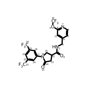 O=C(NCc1ccnc(OC(F)(F)F)c1)C1CC(=O)N(c2cc(C(F)(F)F)cc(C(F)(F)F)c2)C1